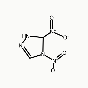 O=[N+]([O-])C1NN=CN1[N+](=O)[O-]